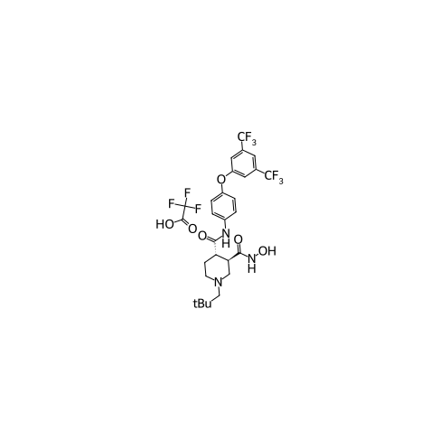 CC(C)(C)CN1CC[C@H](C(=O)Nc2ccc(Oc3cc(C(F)(F)F)cc(C(F)(F)F)c3)cc2)[C@@H](C(=O)NO)C1.O=C(O)C(F)(F)F